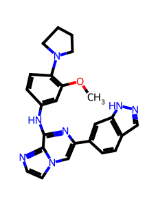 COc1cc(Nc2nc(-c3ccc4cn[nH]c4c3)cn3ccnc23)ccc1N1CCCC1